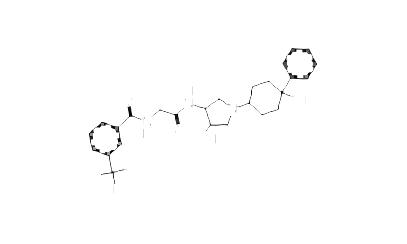 O=C(CNC(=O)c1cccc(C(F)(F)F)c1)NC1CN(C2CCC(O)(c3ccccc3)CC2)CC1O